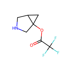 O=C(OC12CNCC1C2)C(F)(F)F